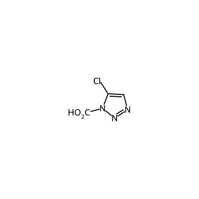 O=C(O)n1nncc1Cl